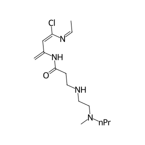 C=C(/C=C(Cl)\N=C/C)NC(=O)CCNCCN(C)CCC